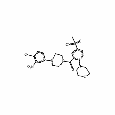 CS(=O)(=O)c1ccc(N2CCOCC2)c(C(=O)N2CCN(c3ccc(Cl)c([N+](=O)[O-])c3)CC2)c1